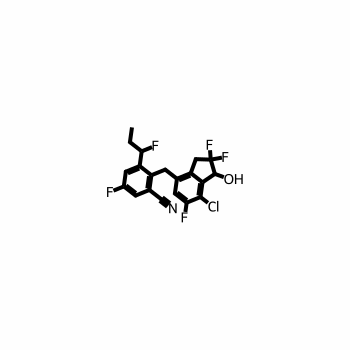 CCC(F)c1cc(F)cc(C#N)c1Cc1cc(F)c(Cl)c2c1CC(F)(F)C2O